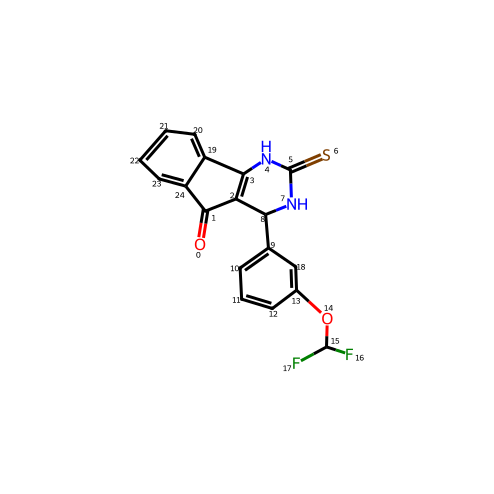 O=C1C2=C(NC(=S)NC2c2cccc(OC(F)F)c2)c2ccccc21